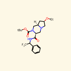 CCO[C@@H]1C[C@@H]2CN(C(=O)OC(C)(C)C)[C@H](C(=O)NC(c3ccccc3)C(F)(F)F)CN2C1